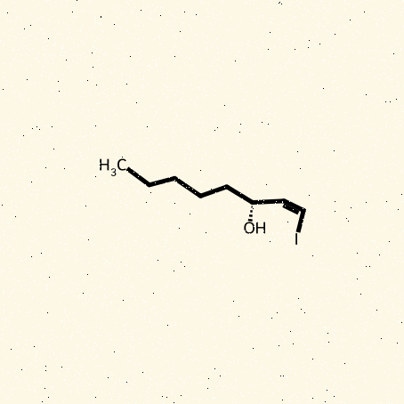 CCCCC[C@@H](O)/C=C\I